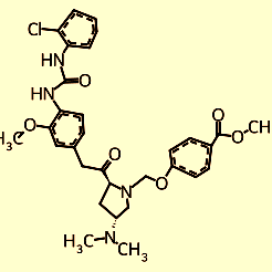 COC(=O)c1ccc(OCN2C[C@H](N(C)C)C[C@H]2C(=O)Cc2ccc(NC(=O)Nc3ccccc3Cl)c(OC)c2)cc1